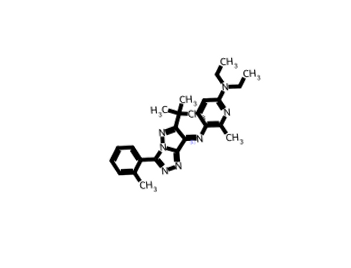 CCN(CC)c1ccc(/N=C2\C(C(C)(C)C)=Nn3c2nnc3-c2ccccc2C)c(C)n1